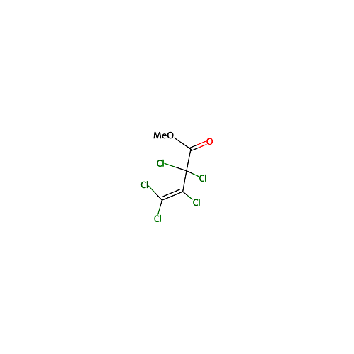 COC(=O)C(Cl)(Cl)C(Cl)=C(Cl)Cl